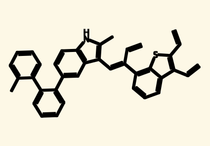 C=C/C(=C\c1c(C)[nH]c2ccc(-c3ccccc3-c3ccccc3C)cc12)c1cccc2c(C=C)c(C=C)sc12